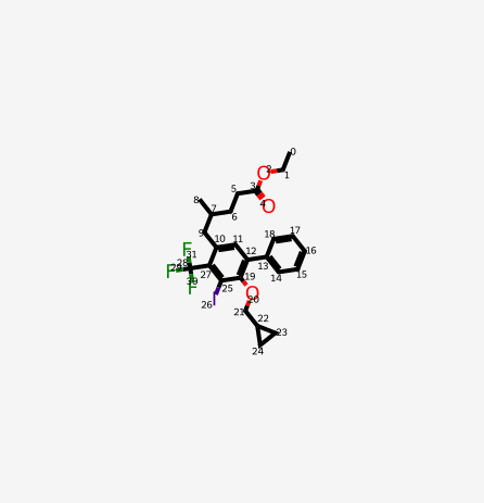 CCOC(=O)CCC(C)Cc1cc(-c2ccccc2)c(OCC2CC2)c(I)c1C(F)(F)F